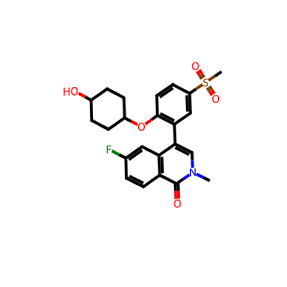 Cn1cc(-c2cc(S(C)(=O)=O)ccc2OC2CCC(O)CC2)c2cc(F)ccc2c1=O